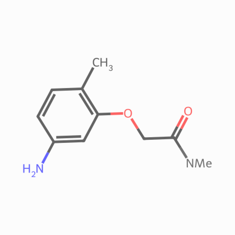 CNC(=O)COc1cc(N)ccc1C